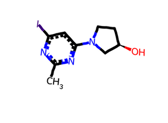 Cc1nc(I)cc(N2CC[C@@H](O)C2)n1